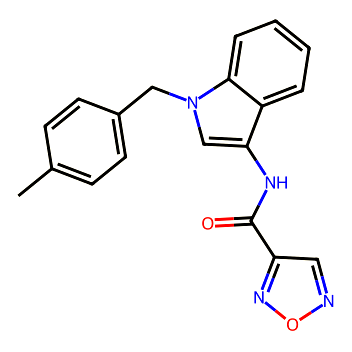 Cc1ccc(Cn2cc(NC(=O)c3cnon3)c3ccccc32)cc1